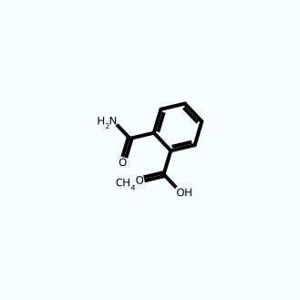 C.NC(=O)c1ccccc1C(=O)O